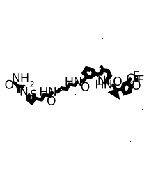 Cc1ccc(NC(=O)C2(c3ccc4c(c3)OC(F)(F)O4)CC2)nc1-c1cccc(C(=O)NCCCCCNC(=O)CCc2ccc(N3CC(C(N)=O)C3)s2)c1